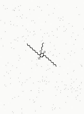 CCCCCCCCCCC1=CC(=O)C(CCCCCCCCCC)=C(OCCCCC)C1=O